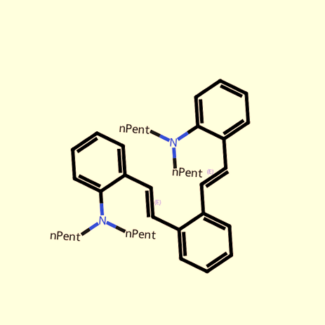 CCCCCN(CCCCC)c1ccccc1/C=C/c1ccccc1/C=C/c1ccccc1N(CCCCC)CCCCC